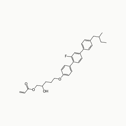 C=CC(=O)OCC(O)CCCOc1ccc(-c2ccc(-c3ccc(CC(C)CC)cc3)cc2F)cc1